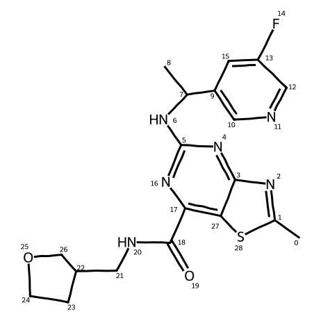 Cc1nc2nc(NC(C)c3cncc(F)c3)nc(C(=O)NCC3CCOC3)c2s1